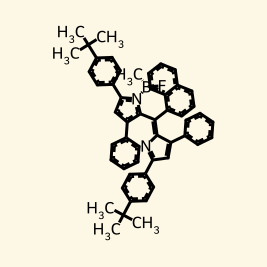 CB(F)n1c(-c2ccc(C(C)(C)C)cc2)cc(-c2ccccc2)c1/C(=C1\N=C(c2ccc(C(C)(C)C)cc2)C=C1c1ccccc1)c1cccc2ccccc12